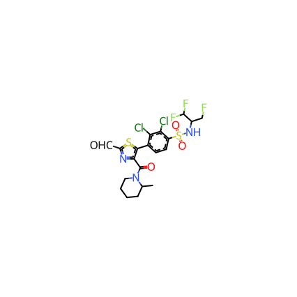 CC1CCCCN1C(=O)c1nc(C=O)sc1-c1ccc(S(=O)(=O)NC(CF)C(F)F)c(Cl)c1Cl